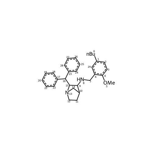 CCCCc1ccc(OC)c(CNC2C3CCN(C3)C2C(c2ccccc2)c2ccccc2)c1